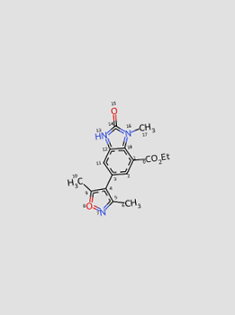 CCOC(=O)c1cc(-c2c(C)noc2C)cc2[nH]c(=O)n(C)c12